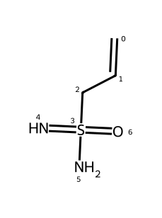 C=CCS(=N)(N)=O